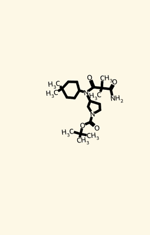 CC1(C)CCC(N(C(=O)C(C)(C)C(N)=O)C2CCN(C(=O)OC(C)(C)C)C2)CC1